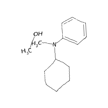 CN(c1ccccc1)C1CCCCC1.CO